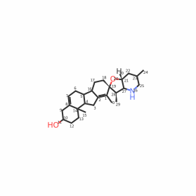 CC1=C2CC3C(CC=C4CC(O)CCC43C)C2CC[C@]12O[C@@H]1CC(C)CNC1[C@H]2C